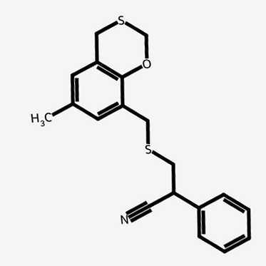 Cc1cc2c(c(CSCC(C#N)c3ccccc3)c1)OCSC2